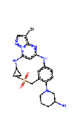 CS(=O)(=O)Cc1cc(Nc2cc(NC3CC3)n3ncc(C#N)c3n2)ccc1N1CCCC(N)C1